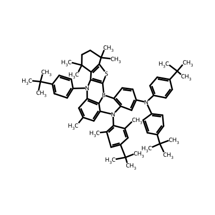 Cc1cc2c3c(c1)N(c1c(C)cc(C(C)(C)C)cc1C)c1cc(N(c4ccc(C(C)(C)C)cc4)c4ccc(C(C)(C)C)cc4)ccc1B3c1sc3c(c1N2c1ccc(C(C)(C)C)cc1)C(C)(C)CCC3(C)C